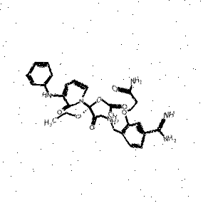 CCO[C@](OC(C)=O)(C(=O)NCc1ccc(C(=N)N)cc1OCC(N)=O)n1cccc(Nc2ccccc2)c1=O